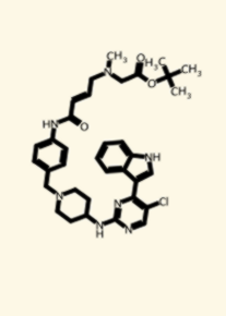 CN(CC=CC(=O)Nc1ccc(CN2CCC(Nc3ncc(Cl)c(-c4c[nH]c5ccccc45)n3)CC2)cc1)CC(=O)OC(C)(C)C